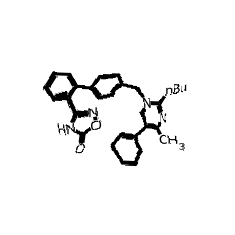 CCCCC1=NC(C)=C(C2=CCCCC2)CN1Cc1ccc(-c2ccccc2-c2noc(=O)[nH]2)cc1